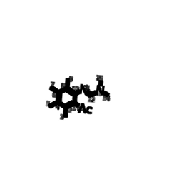 CC(=O)c1c(C)c(C)c(C)c(C)c1/N=C/N(C)C